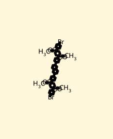 COCOC1(c2ccc(Br)cc2)CCC(OCOC)(c2ccc(-c3ccc4cc(-c5ccc(C6(OCOC)CCC(OCOC)(c7ccc(Br)cc7)CC6)cc5)ccc4c3)cc2)CC1